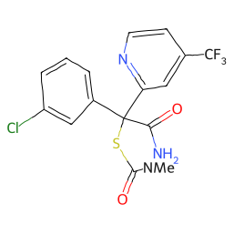 CNC(=O)SC(C(N)=O)(c1cccc(Cl)c1)c1cc(C(F)(F)F)ccn1